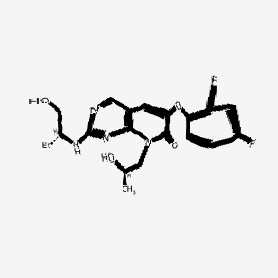 CC[C@H](CO)Nc1ncc2cc(Oc3ccc(F)cc3F)c(=O)n(C[C@@H](C)O)c2n1